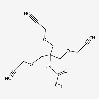 C#CCOCC(COCC#C)(COCC#C)NC(C)=O